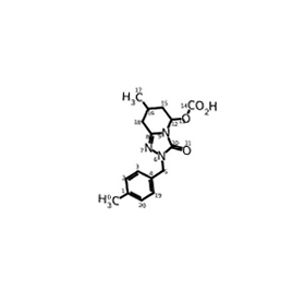 Cc1ccc(Cn2nc3n(c2=O)C(OC(=O)O)CC(C)C3)cc1